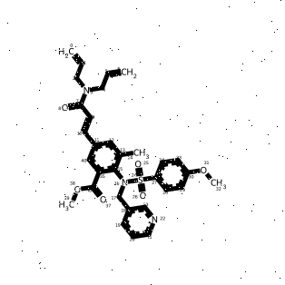 C=CCN(CC=C)C(=O)C=Cc1cc(C)c(N(Cc2cccnc2)S(=O)(=O)c2ccc(OC)cc2)c(C(=O)OC)c1